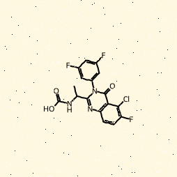 CC(NC(=O)O)c1nc2ccc(F)c(Cl)c2c(=O)n1-c1cc(F)cc(F)c1